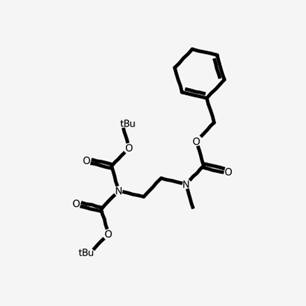 CN(CCN(C(=O)OC(C)(C)C)C(=O)OC(C)(C)C)C(=O)OCC1=CCCC=C1